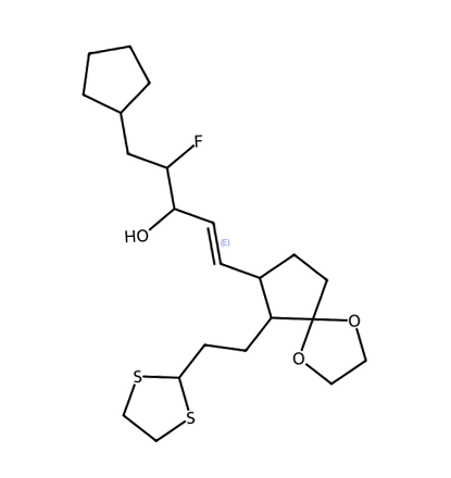 OC(/C=C/C1CCC2(OCCO2)C1CCC1SCCS1)C(F)CC1CCCC1